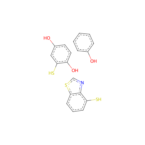 Oc1ccc(O)c(S)c1.Oc1ccccc1.Sc1cccc2scnc12